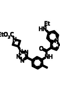 CCNc1ccn2ncc(C(=O)Nc3cc(-c4nnn(C5CN(C(=O)OCC)C5)n4)ccc3C)c2c1